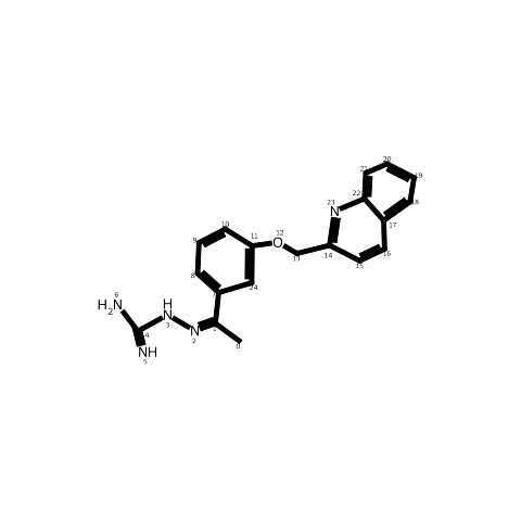 C/C(=N/NC(=N)N)c1cccc(OCc2ccc3ccccc3n2)c1